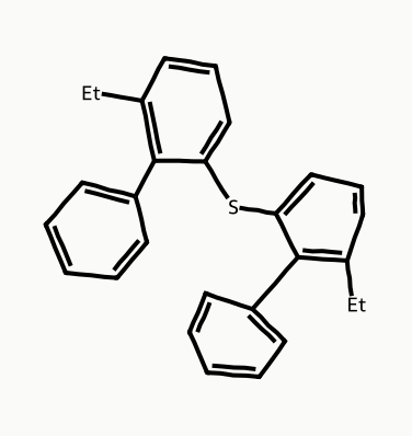 CCc1cccc(Sc2cccc(CC)c2-c2ccccc2)c1-c1ccccc1